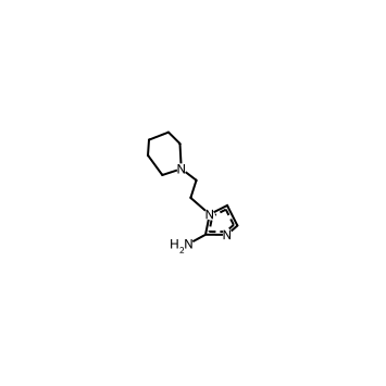 Nc1nccn1CCN1CCCCC1